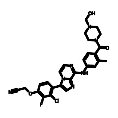 Cc1cc(Nc2nccn3c(-c4ccc(OCC#N)c(F)c4Cl)cnc23)ccc1C(=O)N1CCN(CO)CC1